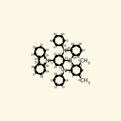 Cc1cc(C)c2c(c1)N(c1ccccc1)c1cc(-n3c4ccccc4c4ccccc43)cc3c1B2c1ccccc1N3c1ccccc1